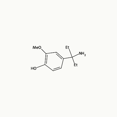 CCC(N)(CC)c1ccc(O)c(OC)c1